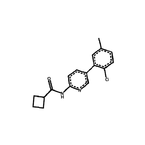 Cc1ccc(Cl)c(-c2ccc(NC(=O)C3CCC3)nc2)c1